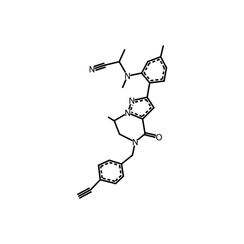 C#Cc1ccc(CN2CC(C)n3nc(-c4ccc(C)cc4N(C)C(C)C#N)cc3C2=O)cc1